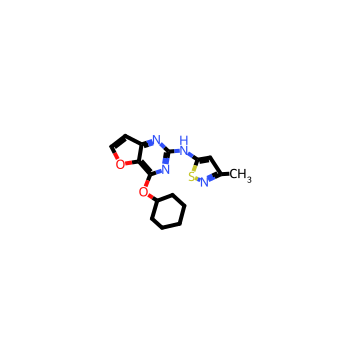 Cc1cc(Nc2nc(OC3CCCCC3)c3occc3n2)sn1